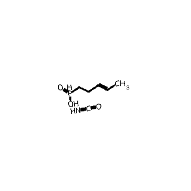 CC=CCC[PH](=O)O.N=C=O